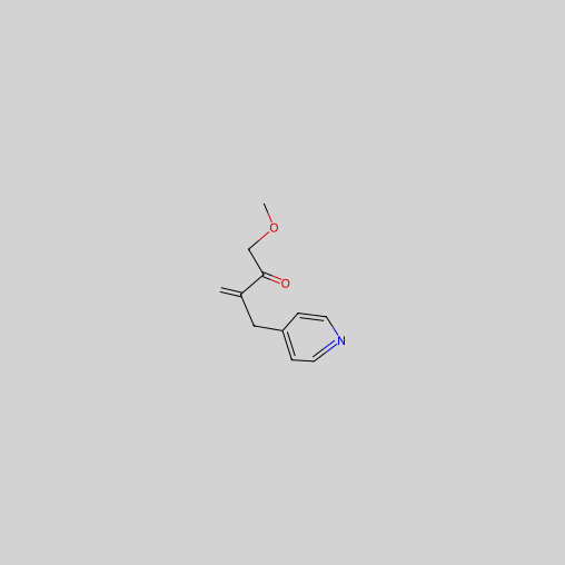 C=C(Cc1ccncc1)C(=O)COC